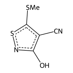 CSc1snc(O)c1C#N